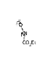 CCOC(=O)CCCCc1ncc(C#Cc2ccc3c(c2)C(C)(C)CCS3)cn1